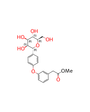 COC(=O)Cc1cccc(Oc2ccc([C@H]3O[C@H](CO)[C@@H](O)[C@H](O)[C@@H]3O)cc2)c1